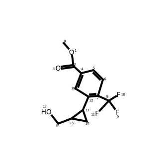 COC(=O)c1ccc(C(F)(F)F)c(C2CC2CO)c1